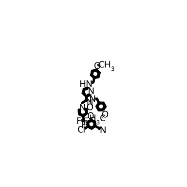 COc1ccc(CNc2ccc3c(Cn4ccc(C(F)(F)F)c(Oc5cc(Cl)cc(C#N)c5)c4=O)nn(Cc4ccc(OC)cc4)c3n2)cc1